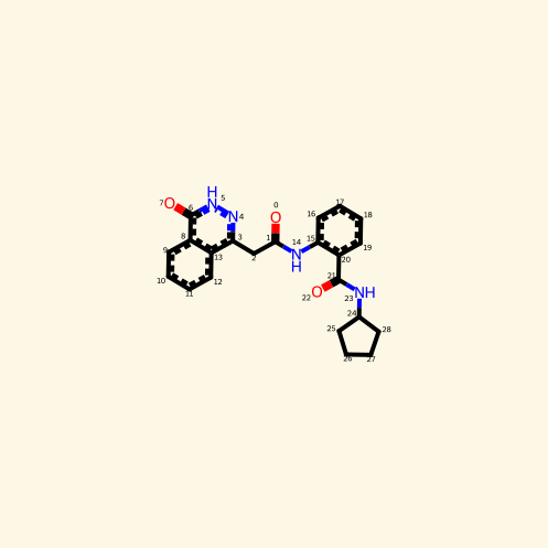 O=C(Cc1n[nH]c(=O)c2ccccc12)Nc1ccccc1C(=O)NC1CCCC1